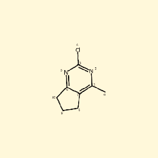 Cc1nc(Cl)nc2c1CCC2